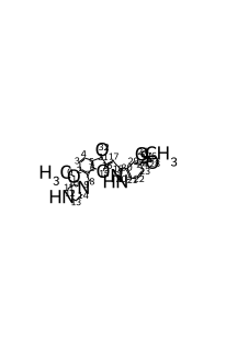 COc1ccc2c(c1CN1CCNCC1)OC(=Cc1n[nH]c3ccc(S(C)(=O)=O)cc13)C2=O